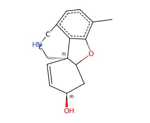 Cc1ccc2c3c1OC1C[C@@H](O)C=C[C@@]31CCNC2